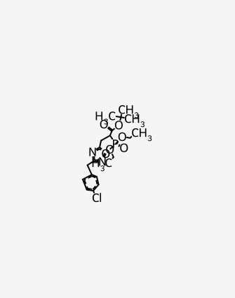 CCOP(=O)(OCC)C(Cc1nc(Cc2ccc(Cl)cc2)no1)C(=O)OC(C)(C)C